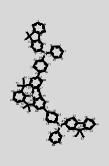 CC1(C)c2ccccc2-c2cc(N(c3ccccc3)c3ccc(-c4cc5c6c(c4)c4cc(-c7ccc(N(c8ccccc8)c8ccc9c(c8)C(C)(C)c8ccccc8-9)cc7)cc7c4n6-c4c(cccc4C7(C)C)C5(C)C)cc3)ccc21